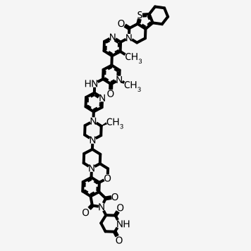 Cc1c(-c2cc(Nc3ccc(N4CCN(C5CCN6c7ccc8c(c7OCC6C5)C(=O)N(C5CCC(=O)NC5=O)C8=O)C[C@@H]4C)cn3)c(=O)n(C)c2)ccnc1N1CCc2c(sc3c2CCCC3)C1=O